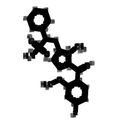 COc1cc(F)ccc1C(=O)c1ccc(CC(c2ccccc2)S(N)(=O)=O)n1C